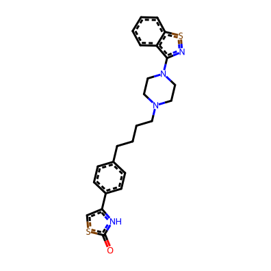 O=c1[nH]c(-c2ccc(CCCCN3CCN(c4nsc5ccccc45)CC3)cc2)cs1